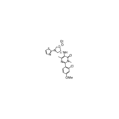 CCO[C@H]1CN(c2nccs2)C[C@H]1Nc1c(C)nc(-c2ccc(OC)cc2Cl)n(C)c1=O